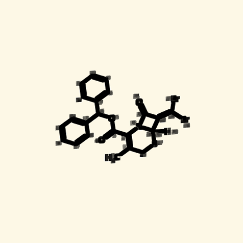 CC1=C(C(=O)OC(c2ccccc2)c2ccccc2)N2C(=O)C(=C(Br)Br)[C@@H]2SC1